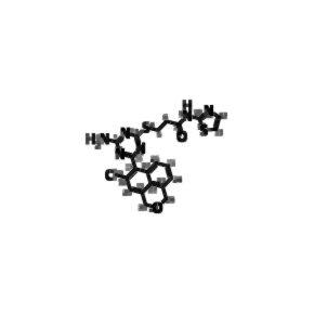 Nc1nc(SCCC(=O)Nc2nccs2)nc(-c2c(Cl)cc3c4c(cccc24)COC3)n1